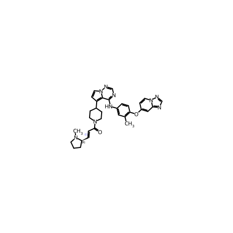 Cc1cc(Nc2ncnn3ccc(C4CCN(C(=O)/C=C/[C@H]5CCCN5C)CC4)c23)ccc1Oc1ccn2ncnc2c1